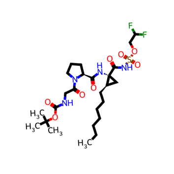 CCCCCCC[C@@H]1C[C@]1(NC(=O)[C@@H]1CCCN1C(=O)CNC(=O)OC(C)(C)C)C(=O)NS(=O)(=O)OCC(F)F